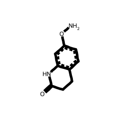 NOc1ccc2c(c1)NC(=O)CC2